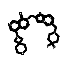 O=c1c2cncc(N3CC4(CCOCC4)C3)c2ccn1Cc1cn2cc(CN3CCC(F)(F)CC3)ccc2n1